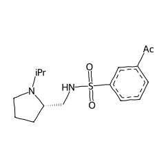 CC(=O)c1cccc(S(=O)(=O)NC[C@@H]2CCCN2C(C)C)c1